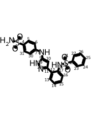 NS(=O)(=O)c1ccc(Nc2cc(-c3ccccc3NS(=O)(=O)c3ccccc3)n[nH]2)cc1